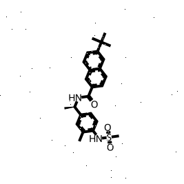 Cc1cc([C@@H](C)NC(=O)c2ccc3cc(C(C)(C)C)ccc3c2)ccc1NS(C)(=O)=O